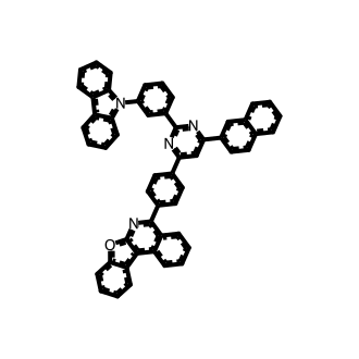 c1cc(-c2nc(-c3ccc(-c4nc5oc6ccccc6c5c5ccccc45)cc3)cc(-c3ccc4ccccc4c3)n2)cc(-n2c3ccccc3c3ccccc32)c1